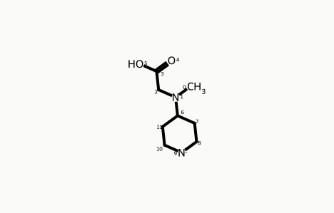 CN(CC(=O)O)C1CC[N]CC1